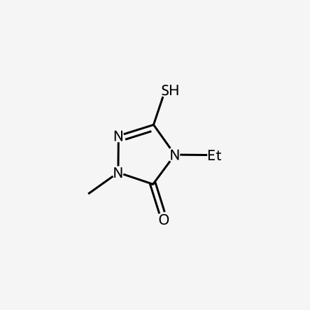 CCn1c(S)nn(C)c1=O